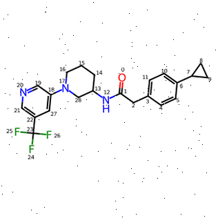 O=C(Cc1ccc(C2CC2)cc1)NC1CCCN(c2cncc(C(F)(F)F)c2)C1